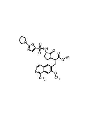 CC(C)OC(=O)C(Cc1cc2ccnc(N)c2cc1OC(F)(F)F)N1CCC(NS(=O)(=O)c2cnc(N3CCCC3)s2)C1=O